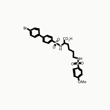 COc1ccc(S(=O)(=O)NCCCCC(NS(=O)(=O)c2ccc(-c3ccc(Br)cc3)cc2)C(=O)O)cc1